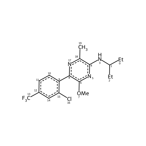 CCC(CC)Nc1nc(OC)c(-c2ccc(C(F)(F)F)cc2Cl)nc1C